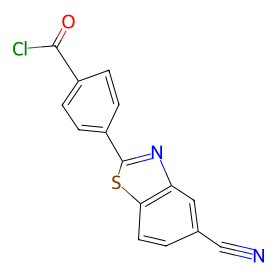 N#Cc1ccc2sc(-c3ccc(C(=O)Cl)cc3)nc2c1